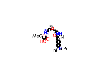 CCCN(CCC)c1ccc2cc(/C=C(\C#N)C(=O)NC(C)(C)CCOC(C)(CC)Cc3cn(C[C@H]4O[C@H](OC)C[C@@H](O)[C@@H]4O)nn3)ccc2c1